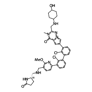 COc1nc(-c2cccc(-c3cccc(-c4cc5c(=O)n(C)c(CNC6CCC(O)CC6)nn5c4)c3Cl)c2Cl)ccc1CNC[C@@H]1CCC(=O)N1